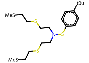 CSCCSCCN(CCSCCSC)Sc1ccc(C(C)(C)C)cc1